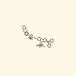 CCC1(CC)c2cc(/C=C/c3nnc(-c4ccc5c(c4)C4c6ccccc6C5c5ccccc54)o3)ccc2-c2ccc(-n3c4ccccc4c4ccccc43)cc21